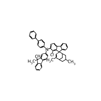 CC1=CC2(c3ccccc3-c3ccc(N(c4ccc(-c5ccccc5)cc4)c4ccc5c(c4)C(C)(C)c4ccccc4-5)c(Cl)c32)C2CC(C)CC1C2